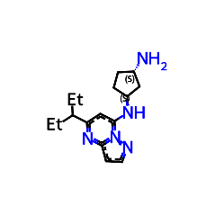 CCC(CC)c1cc(N[C@H]2CC[C@H](N)C2)n2nccc2n1